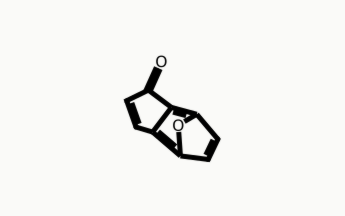 O=C1C=Cc2c1c1ccc2o1